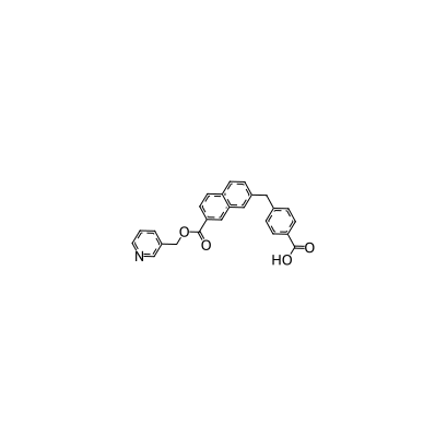 O=C(O)c1ccc(Cc2ccc3ccc(C(=O)OCc4cccnc4)cc3c2)cc1